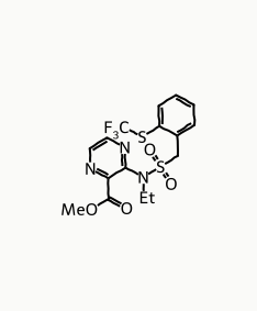 CCN(c1nccnc1C(=O)OC)S(=O)(=O)Cc1ccccc1SC(F)(F)F